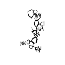 COc1cc(-n2cc(C)c(Nc3ccc4c(cnn4C4CCCCO4)c3Cl)n2)ccc1C(=O)c1cnn(C)c1